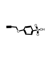 C#CCOc1ccc(S(=O)(=O)O)cc1